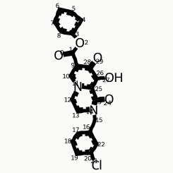 O=C(Oc1ccccc1)c1cn2ccn(Cc3cccc(Cl)c3)c(=O)c2c(O)c1=O